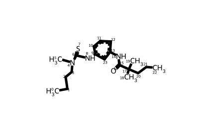 CCCCN(C)C(=S)Nc1cccc(NC(=O)C(C)(C)CCC)c1